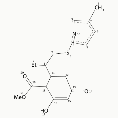 CCC(CSc1ccc(C)cn1)C1CC(=O)C=C(O)C1C(=O)OC